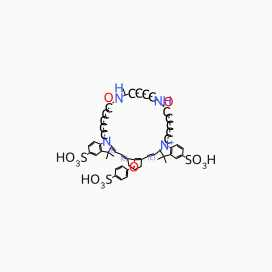 CC1CCCCNC(=O)CCCCC[N+]2=C(/C=C/C3=C(Oc4ccc(S(=O)(=O)O)cc4)C(=C/C=C4/N(CCCCCC(=O)N1)c1ccc(S(=O)(=O)O)cc1C4(C)C)/CCC3)C(C)(C)c1cc(S(=O)(=O)O)ccc12